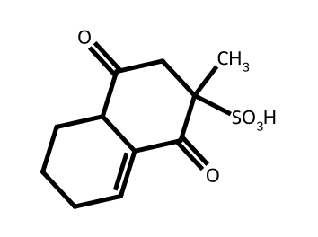 CC1(S(=O)(=O)O)CC(=O)C2CCCC=C2C1=O